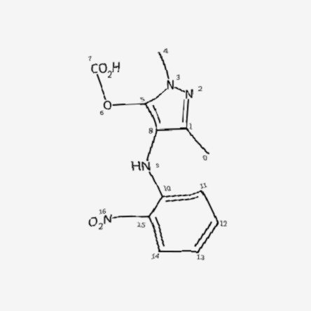 Cc1nn(C)c(OC(=O)O)c1Nc1ccccc1[N+](=O)[O-]